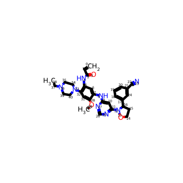 C=CC(=O)Nc1cc(Nc2cc(N3OCCC3c3cccc(C#N)c3)ncn2)c(OC)cc1N1CCN(CC)CC1